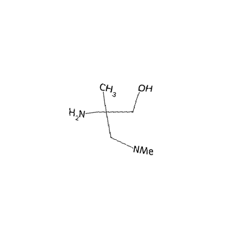 CNCC(C)(N)CO